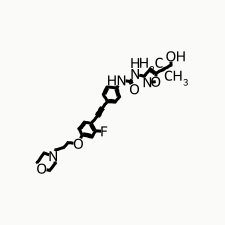 CC(C)(CO)c1cc(NC(=O)Nc2ccc(C#Cc3ccc(OCCCN4CCOCC4)cc3F)cc2)no1